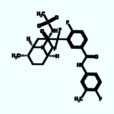 Cc1cc(NC(=O)c2ccc(F)c(C(F)(F)C(=O)N3[C@@H]4CC[C@H](C)[C@H]3C[C@H](NS(C)(=O)=O)C4)c2)ccc1F